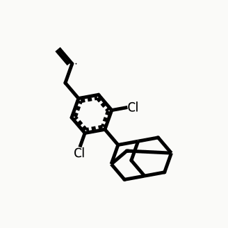 C=[C]Cc1cc(Cl)c(C2C3CC4CC(C3)CC2C4)c(Cl)c1